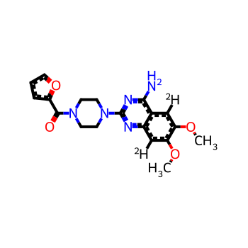 [2H]c1c(OC)c(OC)c([2H])c2c(N)nc(N3CCN(C(=O)c4ccco4)CC3)nc12